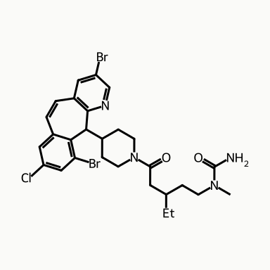 CCC(CCN(C)C(N)=O)CC(=O)N1CCC(C2c3ncc(Br)cc3C=Cc3cc(Cl)cc(Br)c32)CC1